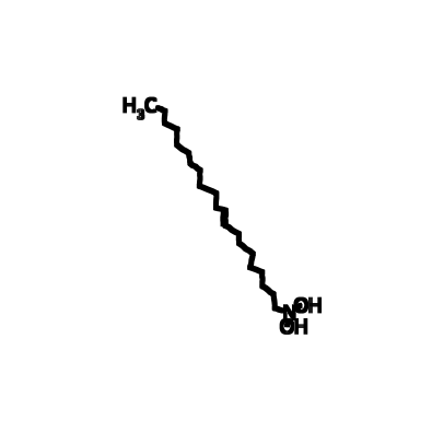 CCCCCCCCCCCC=CCCCCCCCCN(O)O